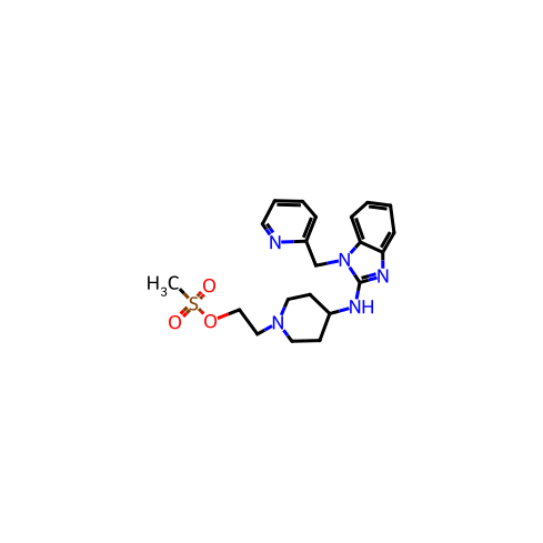 CS(=O)(=O)OCCN1CCC(Nc2nc3ccccc3n2Cc2ccccn2)CC1